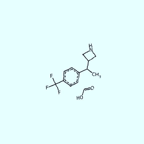 CC(c1ccc(C(F)(F)F)cc1)C1CNC1.O=CO